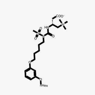 CCCCCCOc1cccc(OCCCCCN(C(=O)N[C@H](CC(=O)[O-])C[N+](C)(C)C)S(C)(=O)=O)c1